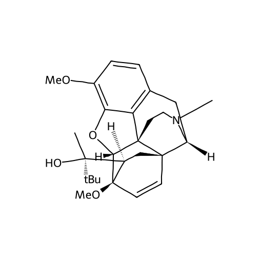 COc1ccc2c3c1O[C@H]1[C@@]4(OC)C=C[C@@]5(C[C@@H]4[C@](C)(O)C(C)(C)C)[C@@H](C2)N(C)CC[C@]315